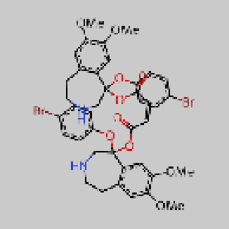 COc1cc2c(cc1OC)C(OC(=O)/C=C\C(=O)OC1(Oc3ccc(Br)cc3)CNCCc3cc(OC)c(OC)cc31)(Oc1ccc(Br)cc1)CNCC2